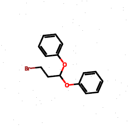 BrCCC(Oc1ccccc1)Oc1ccccc1